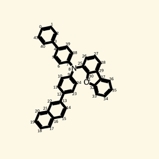 c1ccc(-c2ccc(N(c3ccc(-c4ccc5ccccc5c4)cc3)c3cccc4c3oc3ccccc34)cc2)cc1